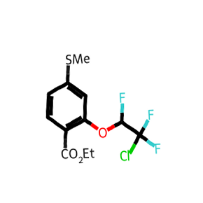 CCOC(=O)c1ccc(SC)cc1OC(F)C(F)(F)Cl